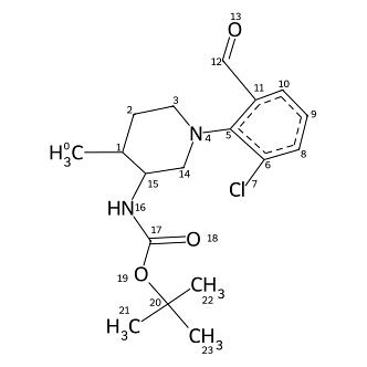 CC1CCN(c2c(Cl)cccc2C=O)CC1NC(=O)OC(C)(C)C